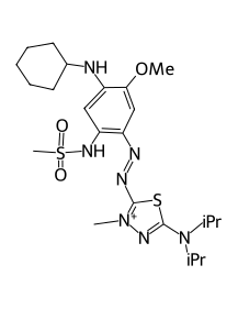 COc1cc(N=Nc2sc(N(C(C)C)C(C)C)n[n+]2C)c(NS(C)(=O)=O)cc1NC1CCCCC1